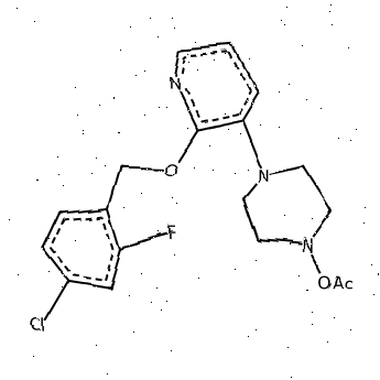 CC(=O)ON1CCN(c2cccnc2OCc2ccc(Cl)cc2F)CC1